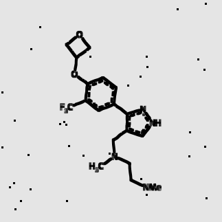 CNCCN(C)Cc1c[nH]nc1-c1ccc(OC2COC2)c(C(F)(F)F)c1